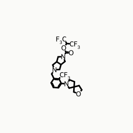 O=C(OC(C(F)(F)F)C(F)(F)F)N1CC2CN(Cc3cccc(N4CCC5(CCOC5)C4)c3C(F)(F)F)CC2C1